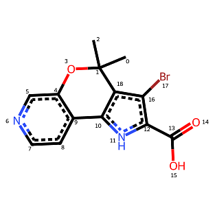 CC1(C)Oc2cnccc2-c2[nH]c(C(=O)O)c(Br)c21